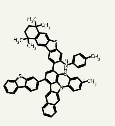 Cc1ccc(Nc2cc3sc4cc5c(cc4c3cc2-c2cc(-c3ccc4c(c3)sc3ccccc34)c3c4cc6ccccc6cc4n4c3c2Bc2cc(C)ccc2-4)C(C)(C)CCC5(C)C)cc1